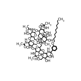 CCCCCCCCCCCOc1cccc(C(=O)N[C@@H]2C(O[C@@H]3C(CO)O[C@@H](OC4C(CO)O[C@@H](O[C@@H]5C(CO)OC(OC6C(CO[C@@H]7OC(C)C(O)[C@H](O)[C@H]7O)OC(O)[C@@H](NC(C)=O)[C@H]6O)C(NC(C)=O)C5O)[C@@H](NC(C)=O)[C@H]4O)C(NC(C)=O)C3O)OC(CO)[C@@H](O)[C@@H]2O)c1